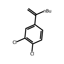 C=C(CCCC)c1ccc(Cl)c(Cl)c1